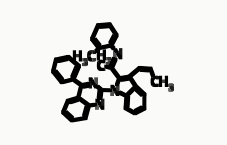 C/C=C\c1c(/C(C)=N/c2ccccc2C)n(-c2nc(-c3ccccc3)c3ccccc3n2)c2ccccc12